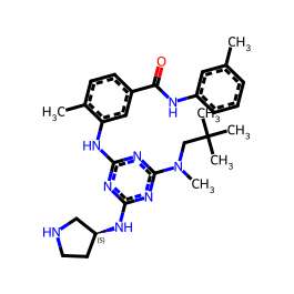 Cc1cccc(NC(=O)c2ccc(C)c(Nc3nc(N[C@H]4CCNC4)nc(N(C)CC(C)(C)C)n3)c2)c1